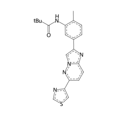 Cc1ccc(-c2cn3nc(-c4cscn4)ccc3n2)cc1NC(=O)C(C)(C)C